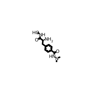 CN(C)NC(=O)c1ccc(C[C@H](N)C(=O)NO)cc1